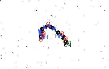 CC1(C)[C@H](NC(=O)c2ccc(CCN3CC4CN(C(=O)C5CN(c6ccc7nnn(C8CCC(=O)NC8=O)c(=O)c7c6)C5)CC4C3)cc2)C(C)(C)[C@H]1Oc1ccc(C#N)c(Cl)c1